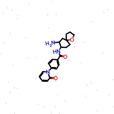 NC1CC2(CCCO2)CCC1NC(=O)c1ccc(-n2ccccc2=O)cc1